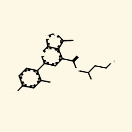 CCC(CCN)NC(=O)c1cc(-c2ccc(O)cc2F)nc2[nH]nc(C)c12